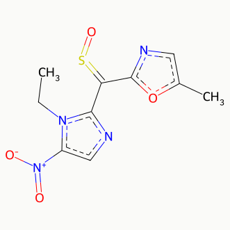 CCn1c([N+](=O)[O-])cnc1C(=S=O)c1ncc(C)o1